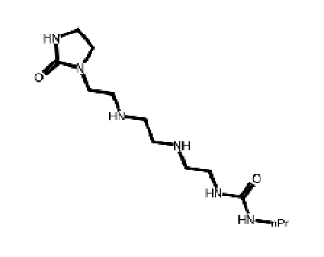 CCCNC(=O)NCCNCCNCCN1CCNC1=O